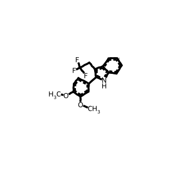 COc1ccc(-c2[nH]c3cc[c]cc3c2CC(F)(F)F)cc1OC